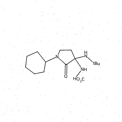 CC(C)(C)NC1(NC(=O)O)CCN(C2CCCCC2)C1=O